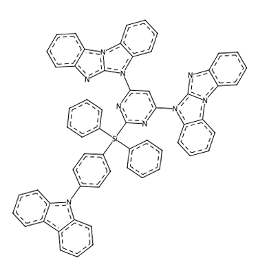 c1ccc([Si](c2ccccc2)(c2ccc(-n3c4ccccc4c4ccccc43)cc2)c2nc(-n3c4ccccc4n4c5ccccc5nc34)cc(-n3c4ccccc4n4c5ccccc5nc34)n2)cc1